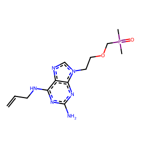 C=CCNc1nc(N)nc2c1ncn2CCOCP(C)(C)=O